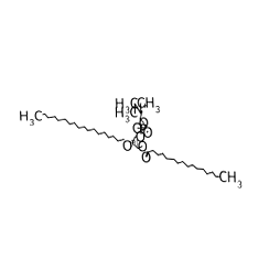 CCCCCCCCCCCCCCCCCCO[C@H](COC(=O)CCCCCCCCCCCCCCC)COP(=O)([O-])OCC[N+](C)(C)C